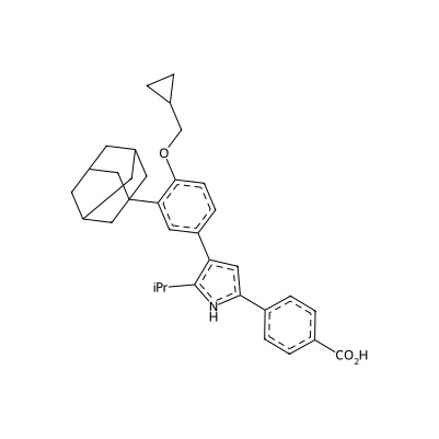 CC(C)c1[nH]c(-c2ccc(C(=O)O)cc2)cc1-c1ccc(OCC2CC2)c(C23CC4CC(CC(C4)C2)C3)c1